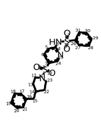 O=S(=O)(Nc1ccc(S(=O)(=O)N2CCC(Cc3ccccc3)CC2)cn1)c1ccccc1